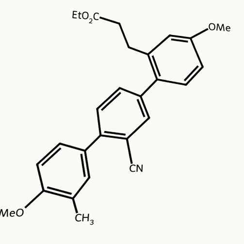 CCOC(=O)CCc1cc(OC)ccc1-c1ccc(-c2ccc(OC)c(C)c2)c(C#N)c1